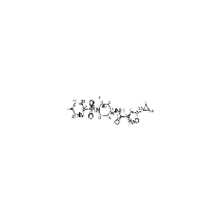 C[C@@H]1C[C@H](NC(=O)c2cc(C3CC3)on2)CCN1S(=O)(=O)c1ccccn1